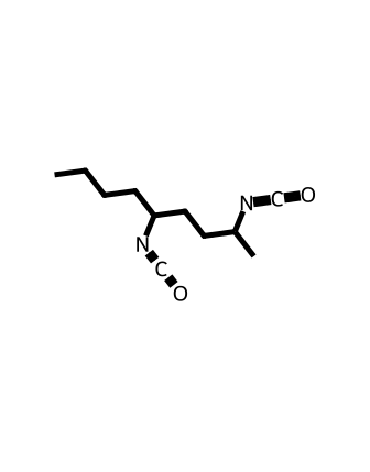 CCCCC(CCC(C)N=C=O)N=C=O